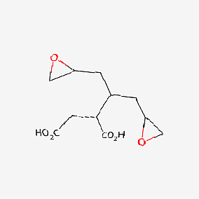 O=C(O)CC(C(=O)O)C(CC1CO1)CC1CO1